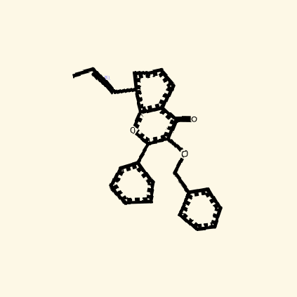 C/C=C/c1cccc2c(=O)c(OCc3ccccc3)c(-c3ccccc3)oc12